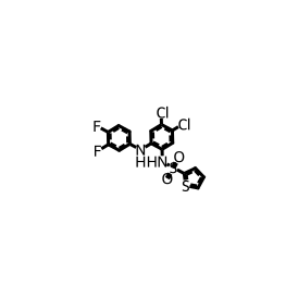 O=S(=O)(Nc1cc(Cl)c(Cl)cc1Nc1ccc(F)c(F)c1)c1cccs1